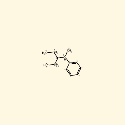 C[SiH2]C([SiH2]C)[SiH](C)c1ccccc1